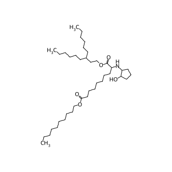 CCCCCCCCCCOC(=O)CCCCCCCC(NC1CCCC1O)C(=O)OCCC(CCCCCC)CCCCCC